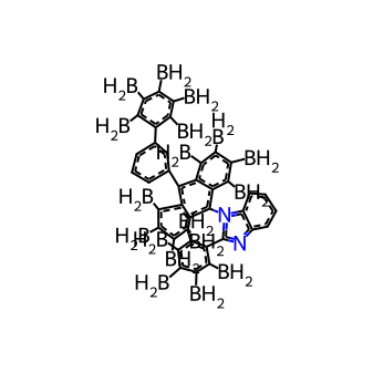 Bc1c(B)c(B)c(-c2cccc(-c3c4c(B)c(B)c(B)c(B)c4c(-n4c(-c5c(B)c(B)c(B)c(B)c5B)nc5ccccc54)c4c(B)c(B)c(B)c(B)c34)c2)c(B)c1B